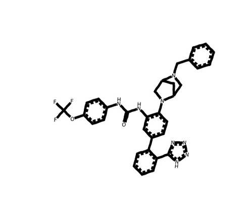 O=C(Nc1ccc(OC(F)(F)F)cc1)Nc1cc(-c2ccccc2-c2nnn[nH]2)ccc1N1CC2CC1CN2Cc1ccccc1